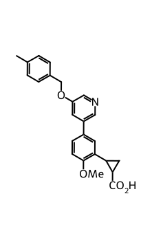 COc1ccc(-c2cncc(OCc3ccc(C)cc3)c2)cc1C1CC1C(=O)O